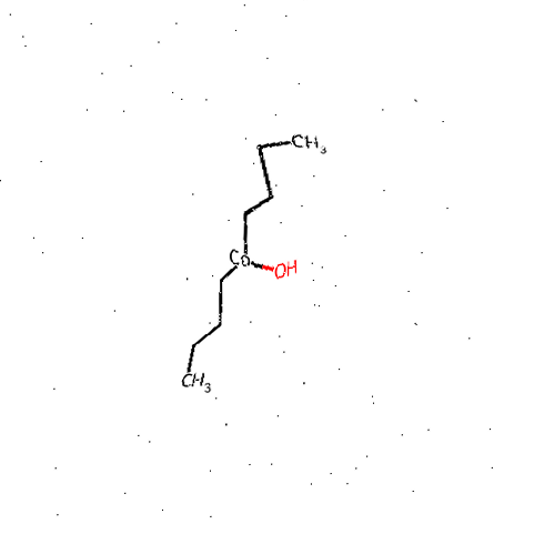 CCC[CH2][Co]([OH])[CH2]CCC